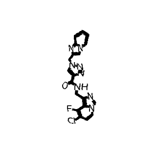 O=C(NCc1ncn2ccc(Cl)c(F)c12)c1cn(Cc2cn3ccccc3n2)nn1